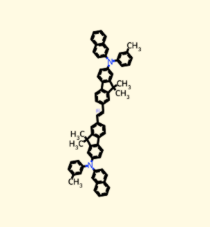 Cc1cccc(N(c2ccc3c(c2)C(C)(C)c2cc(/C=C/c4ccc5c(c4)C(C)(C)c4cc(N(c6cccc(C)c6)c6ccc7ccccc7c6)ccc4-5)ccc2-3)c2ccc3ccccc3c2)c1